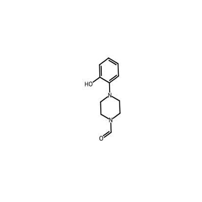 O=CN1CCN(c2ccccc2O)CC1